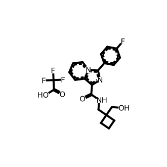 O=C(NCC1(CO)CCC1)c1nc(-c2ccc(F)cc2)n2ccccc12.O=C(O)C(F)(F)F